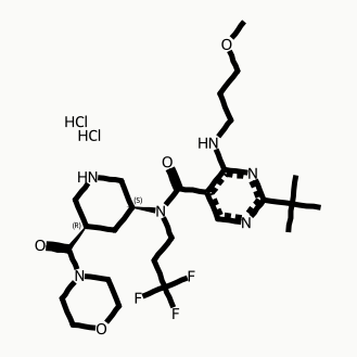 COCCCNc1nc(C(C)(C)C)ncc1C(=O)N(CCC(F)(F)F)[C@@H]1CNC[C@H](C(=O)N2CCOCC2)C1.Cl.Cl